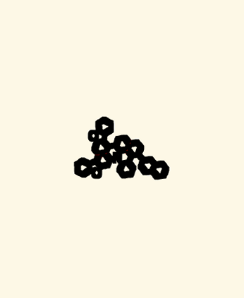 c1ccc(-c2ccccc2N(c2ccc3c(c2)oc2ccccc23)c2ccccc2-c2cccc3oc4ccccc4c23)c(-c2ccc3ccccc3c2)c1